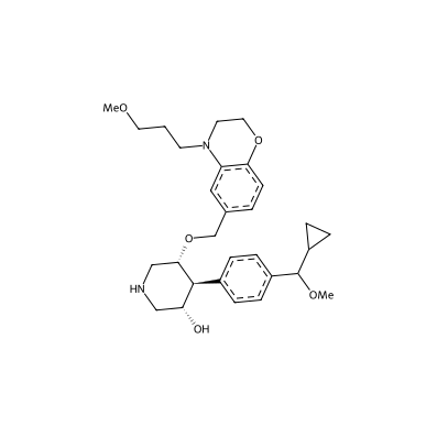 COCCCN1CCOc2ccc(CO[C@H]3CNC[C@@H](O)[C@@H]3c3ccc(C(OC)C4CC4)cc3)cc21